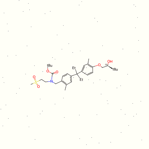 CCC(CC)(c1ccc(CN(CCS(C)(=O)=O)C(=O)OC(C)(C)C)c(C)c1)c1ccc(OC[C@@H](O)C(C)(C)C)c(C)c1